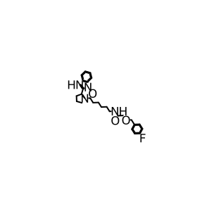 O=C(COCc1ccc(F)cc1)NCCCCCC(=O)N1CCCC1c1nc2ccccc2[nH]1